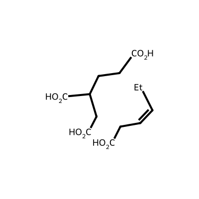 CC/C=C\CC(=O)O.O=C(O)CCC(CC(=O)O)C(=O)O